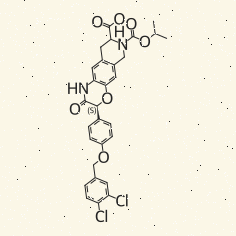 CC(C)OC(=O)N1Cc2cc3c(cc2CC1C(=O)O)NC(=O)[C@H](c1ccc(OCc2ccc(Cl)c(Cl)c2)cc1)O3